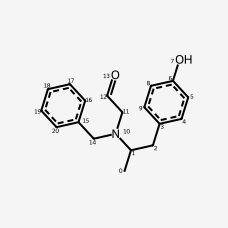 CC(Cc1ccc(O)cc1)N(CC=O)Cc1ccccc1